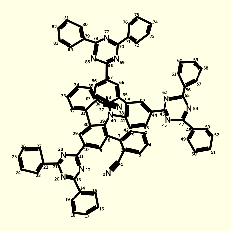 N#Cc1ccccc1-c1cc(-c2nc(-c3ccccc3)nc(-c3ccccc3)n2)cc(-c2ccccc2C#N)c1-n1c2ccc(-c3nc(-c4ccccc4)nc(-c4ccccc4)n3)cc2c2cc(-c3nc(-c4ccccc4)nc(-c4ccccc4)n3)ccc21